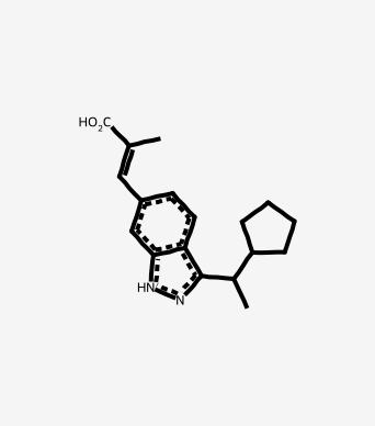 CC(=Cc1ccc2c(C(C)C3CCCC3)n[nH]c2c1)C(=O)O